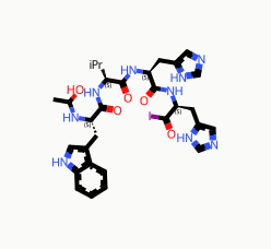 CC(O)N[C@@H](Cc1c[nH]c2ccccc12)C(=O)N[C@H](C(=O)N[C@@H](Cc1cnc[nH]1)C(=O)N[C@@H](Cc1cnc[nH]1)C(=O)I)C(C)C